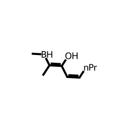 CB/C(C)=C(O)/C=C\CCC